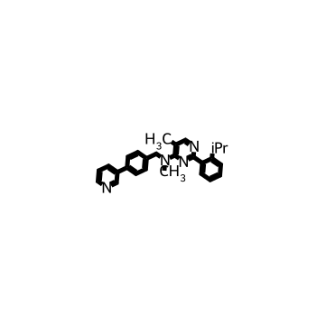 Cc1cnc(-c2ccccc2C(C)C)nc1N(C)Cc1ccc(-c2cccnc2)cc1